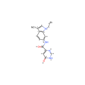 CC(C)Cn1cc(C#N)c2ccc(NC(=O)c3cc(=O)[nH]cn3)cc21